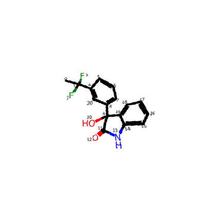 CC(F)(F)c1cccc(C2(O)C(=O)Nc3ccccc32)c1